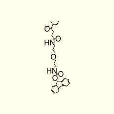 CCC(C)C(=O)CCC(=O)NCCCOCCCNC(=O)OC1c2ccccc2-c2ccccc21